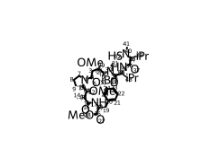 CC[C@H](C)[C@@H]([C@@H](CC(=O)N1CCC[C@H]1[C@H](OC)[C@@H](C)C(=O)N[C@@H](Cc1ccccc1)C(=O)OC)OC)N(C)C(=O)[C@@H](NC(=O)[C@H](C(C)C)N(C)S)C(C)C